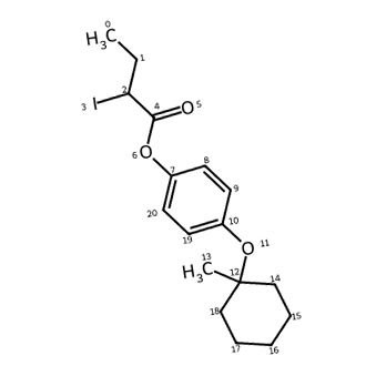 CCC(I)C(=O)Oc1ccc(OC2(C)CCCCC2)cc1